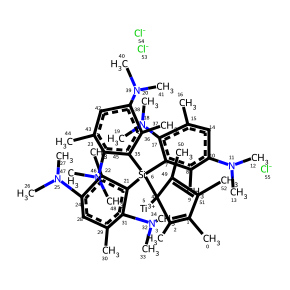 CC1=C(C)[C]([Ti+3])([Si](c2c(C)c(N(C)C)cc(C)c2N(C)C)(c2c(C)c(N(C)C)cc(C)c2N(C)C)c2c(C)c(N(C)C)cc(C)c2N(C)C)C(C)=C1C.[Cl-].[Cl-].[Cl-]